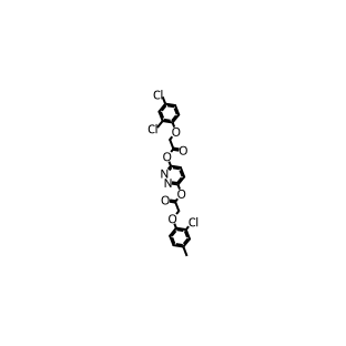 Cc1ccc(OCC(=O)Oc2ccc(OC(=O)COc3ccc(Cl)cc3Cl)nn2)c(Cl)c1